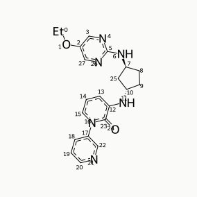 CCOc1cnc(N[C@H]2CC[C@H](Nc3cccn(-c4cccnc4)c3=O)C2)nc1